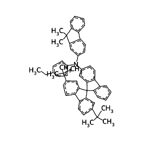 CCc1ccc(N(c2ccc3c(c2)C(C)(C)c2ccccc2-3)c2ccc3c(c2)C2(c4ccccc4-3)c3cc(C(C)(C)C)ccc3-c3ccc(C(C)(C)C)cc32)cc1